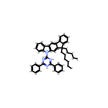 CCCCCCC1(CCCCC)c2ccccc2-c2cc3c4ccccc4n(-c4nc(-c5ccccc5)nc(-c5ccccc5)n4)c3cc21